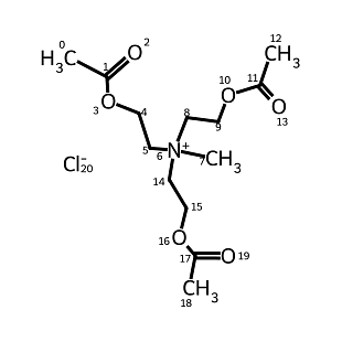 CC(=O)OCC[N+](C)(CCOC(C)=O)CCOC(C)=O.[Cl-]